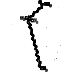 CCCCCCCCCCCCCCCCCC[Si](C)(C)CCCCCCC(N)=O